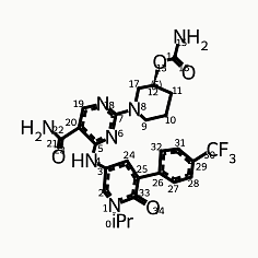 CC(C)n1cc(Nc2nc(N3CCC[C@H](OC(N)=O)C3)ncc2C(N)=O)cc(-c2ccc(C(F)(F)F)cc2)c1=O